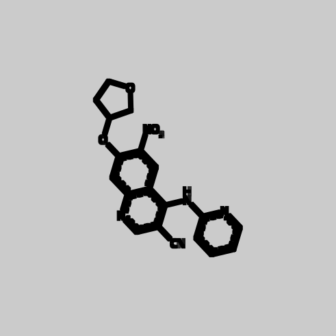 N#Cc1cnc2cc(OC3CCOC3)c([N+](=O)[O-])cc2c1Nc1ccccn1